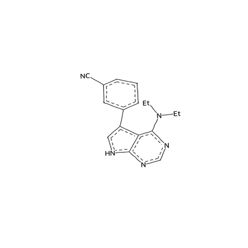 CCN(CC)c1ncnc2[nH]cc(-c3cccc(C#N)c3)c12